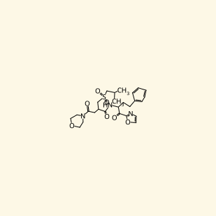 CC(C)CS(=O)(=O)CC(CC(=O)N1CCOCC1)C(=O)NC(CCc1ccccc1)C(=O)c1ncco1